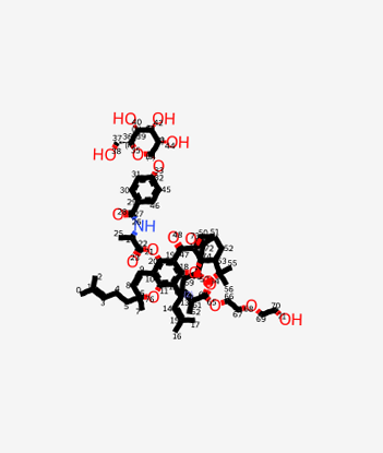 CC(C)=CCCC1(C)C=Cc2c(c(CC=C(C)C)c3c(c2OC(=O)C(C)NC(=O)c2ccc(O[C@@H]4O[C@H](CO)[C@@H](O)[C@@H](O)[C@H]4O)cc2)C(=O)C2=CC4CC5C(C)(C)OC(C/C=C(/C)C(=O)OCCOCCO)(C4=O)C25O3)O1